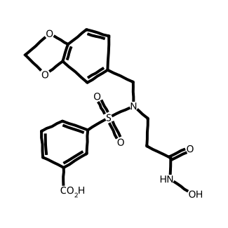 O=C(CCN(Cc1ccc2c(c1)OCO2)S(=O)(=O)c1cccc(C(=O)O)c1)NO